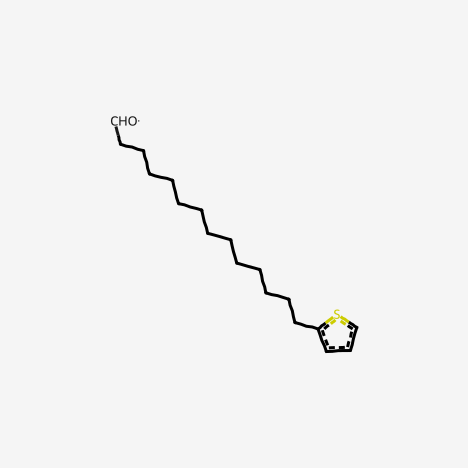 O=[C]CCCCCCCCCCCCCc1cccs1